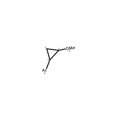 COC1CC1C(C)=O